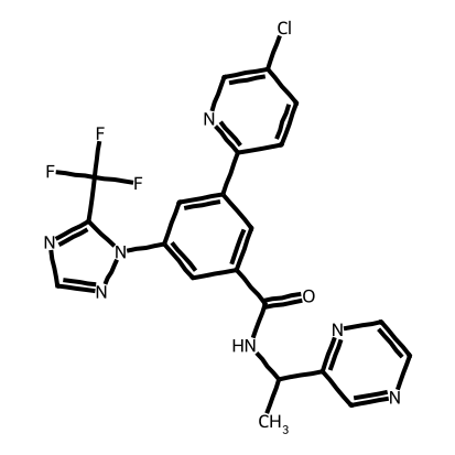 CC(NC(=O)c1cc(-c2ccc(Cl)cn2)cc(-n2ncnc2C(F)(F)F)c1)c1cnccn1